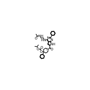 CC(=O)NCCNc1nc(-c2ccccc2)nc2[nH]c(C(=O)N3CCC(OC(=O)OC(C)C)(c4ccccc4)CC3)cc12